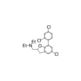 CCN(CC)CC1Cc2cc(Cl)cc(-c3ccc(Cl)cc3Cl)c2O1